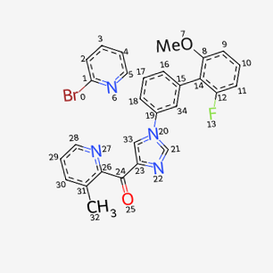 Brc1ccccn1.COc1cccc(F)c1-c1cccc(-n2cnc(C(=O)c3ncccc3C)c2)c1